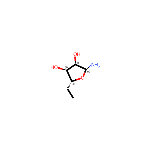 CC[C@H]1O[C@@H](N)[C@H](O)[C@@H]1O